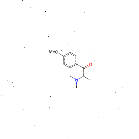 COc1ccc(C(=O)C(C)N(C)C)cc1